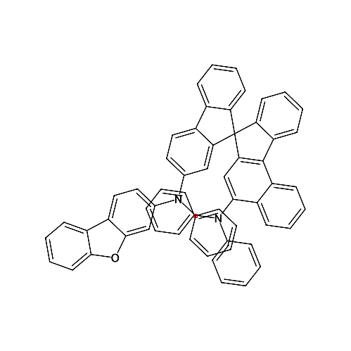 c1ccc(N(c2ccc3c(c2)C2(c4ccccc4-3)c3ccccc3-c3c2cc(N(c2ccccc2)c2ccccc2)c2ccccc32)c2ccc3c(c2)oc2ccccc23)cc1